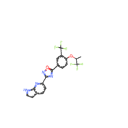 CC(Oc1ccc(-c2nc(-c3ccc4cc[nH]c4n3)no2)cc1C(F)(F)F)C(F)(F)F